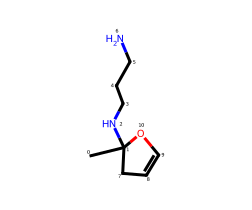 CC1(NCCCN)CC=CO1